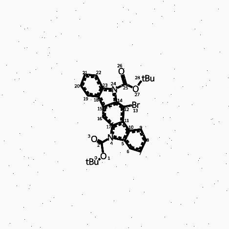 CC(C)(C)OC(=O)n1c2ccccc2c2c(Br)c3c(cc21)c1ccccc1n3C(=O)OC(C)(C)C